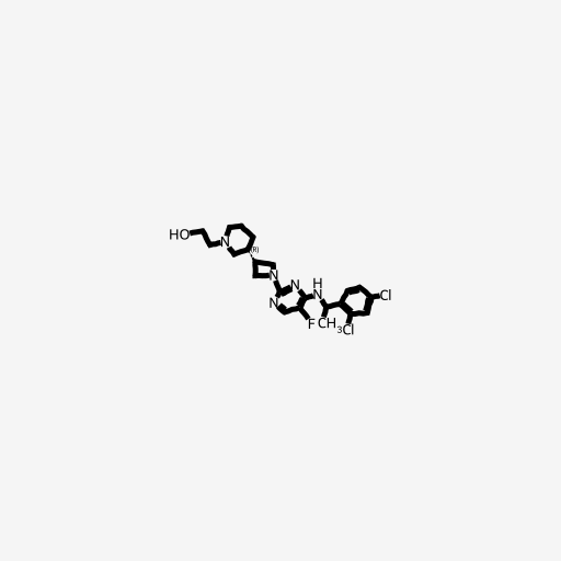 CC(Nc1nc(N2CC([C@H]3CCCN(CCO)C3)C2)ncc1F)c1ccc(Cl)cc1Cl